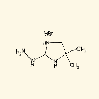 Br.CC1(C)CNC(NN)N1